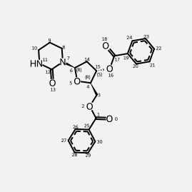 O=C(OC[C@H]1O[C@@H](N2CCCNC2=O)C[C@@H]1OC(=O)c1ccccc1)c1ccccc1